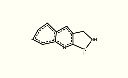 [c]1ccc2cc3c(nc2c1)NNC3